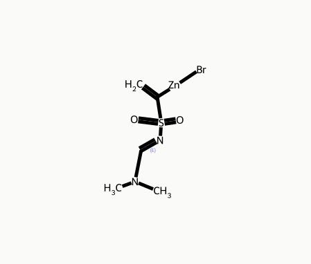 C=[C]([Zn][Br])S(=O)(=O)/N=C/N(C)C